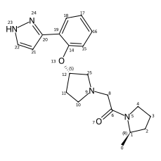 C[C@@H]1CCCN1C(=O)CN1CC[C@H](Oc2ccccc2-c2cc[nH]n2)C1